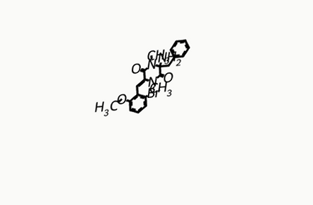 COc1cccc(Br)c1/C=C1/C(=O)N(C)C(N)(Cc2ccccc2)C(=O)N1C